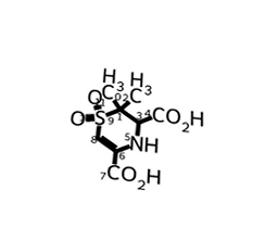 CC1(C)C(C(=O)O)NC(C(=O)O)=CS1(=O)=O